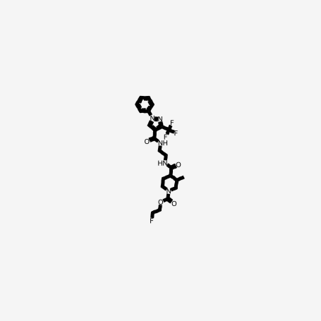 CC1CN(C(=O)OCCF)CCC1C(=O)NCCNC(=O)c1cn(-c2ccccc2)nc1C(F)(F)F